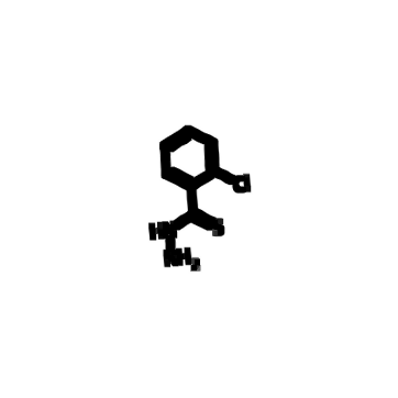 NNC(=S)c1ccccc1Cl